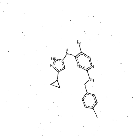 Cc1ccc(CNc2ncc(Br)c(Nc3cc(C4CC4)n[nH]3)n2)cc1